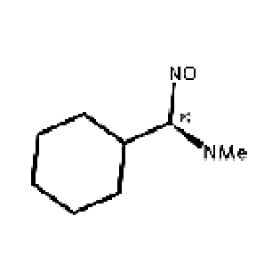 CN[C@H](N=O)C1CCCCC1